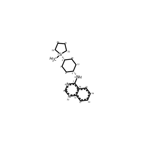 C[Si]1([C@H]2CC[C@@H](Nc3ncnc4ccccc34)CC2)CCCC1